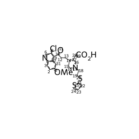 COc1ccc2ncc(Cl)c(C(=O)CCC3CCN(CCSc4cccs4)CC3CC(=O)O)c2c1